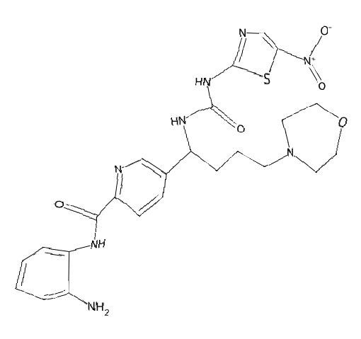 Nc1ccccc1NC(=O)c1ccc(C(CCCN2CCOCC2)NC(=O)Nc2ncc([N+](=O)[O-])s2)cn1